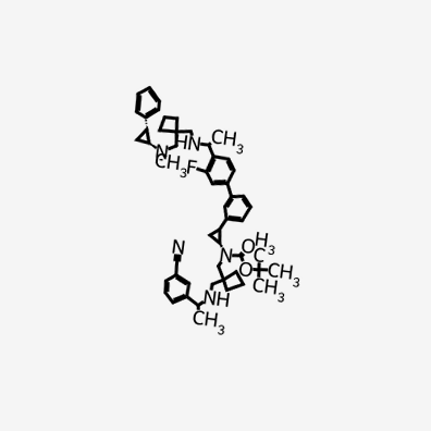 CC(NCC1(CN(C(=O)OC(C)(C)C)[C@H]2CC2c2cccc(-c3ccc(C(C)NCC4(CN(C)[C@H]5C[C@@H]5c5ccccc5)CCC4)c(F)c3)c2)CCC1)c1cccc(C#N)c1